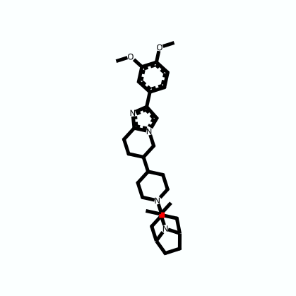 COc1ccc(-c2cn3c(n2)CCC(C2CCN(C4CC5CCC(C4)N5C(C)C)CC2)C3)cc1OC